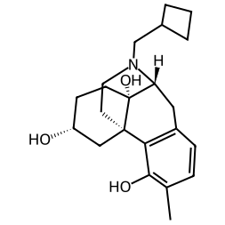 Cc1ccc2c(c1O)[C@]13CCN(CC4CCC4)[C@H](C2)[C@]1(O)CC[C@@H](O)C3